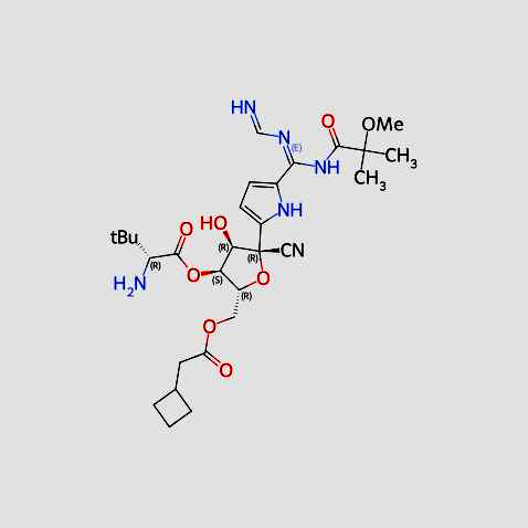 COC(C)(C)C(=O)N/C(=N/C=N)c1ccc([C@]2(C#N)O[C@H](COC(=O)CC3CCC3)[C@@H](OC(=O)[C@H](N)C(C)(C)C)[C@H]2O)[nH]1